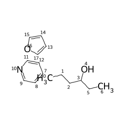 CCCC(O)CC.c1ccncc1.c1ccoc1